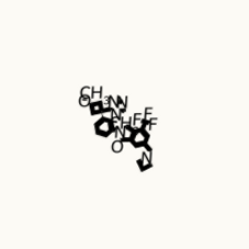 CO[C@H]1C[C@](c2cccc(N3Cc4c(cc(CN5CCC5)cc4C(F)(F)F)C3=O)c2)(c2nncn2C)C1